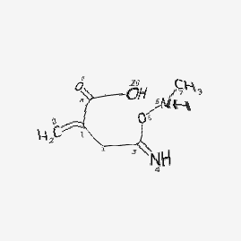 C=C(CC(=N)ONC)C(=O)O